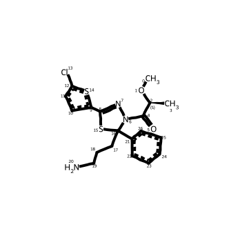 CO[C@@H](C)C(=O)N1N=C(c2ccc(Cl)s2)SC1(CCCN)c1ccccc1